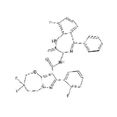 O=C(NC1N=C(c2ccccc2)c2cccc(F)c2NC1=O)c1c(-c2ccccc2F)nn2c1OCC(F)(F)CC2